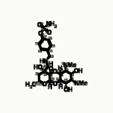 CN[C@@H]1[C@H](O)[C@H](NC)[C@H]2O[C@]3(O)[C@H](O[C@@H]2[C@H]1O)O[C@H](C)C[C@@]3(O)CNCc1ccc(OS(N)(=O)=O)cc1